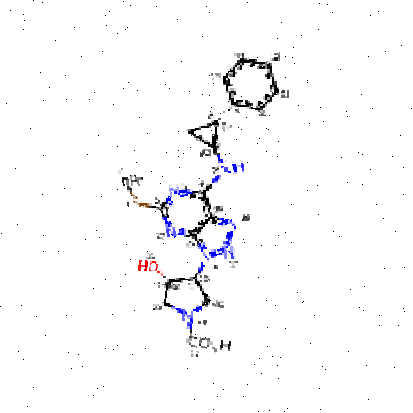 CCCSc1nc(N[C@H]2C[C@@H]2c2ccccc2)c2nnn([C@H]3CN(C(=O)O)C[C@@H]3O)c2n1